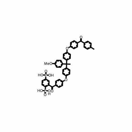 COc1ccc(C(C)(c2ccc(Oc3ccc(C(=O)c4ccc(C)cc4)cc3)cc2)c2ccc(Oc3ccc(C(=O)c4cc(P(=O)(O)O)ccc4P(=O)(O)O)cc3)cc2)cc1